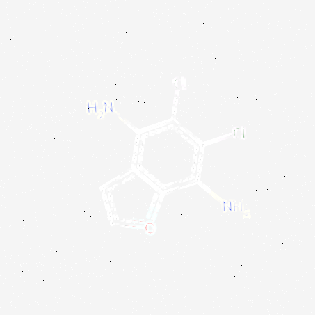 Nc1c(Cl)c(Cl)c(N)c2occc12